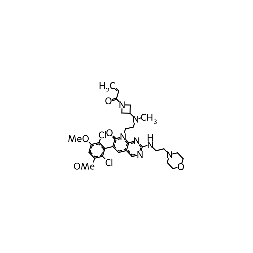 C=CC(=O)N1CC(N(C)CCn2c(=O)c(-c3c(Cl)c(OC)cc(OC)c3Cl)cc3cnc(NCCN4CCOCC4)nc32)C1